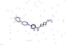 Cc1nc(N2CCC(N3C[C@@H](C)O[C@@H](C)C3)CC2)ccc1NC1CC2(CC(N)C2)C1